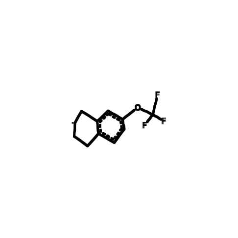 FC(F)(F)Oc1ccc2c(c1)C[CH]CC2